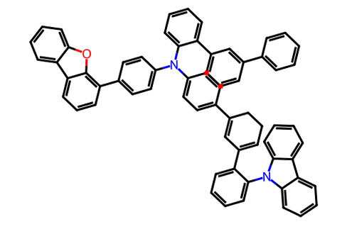 C1=C(c2ccc(N(c3ccc(-c4cccc5c4oc4ccccc45)cc3)c3ccccc3-c3cccc(-c4ccccc4)c3)cc2)CCC=C1c1ccccc1-n1c2ccccc2c2ccccc21